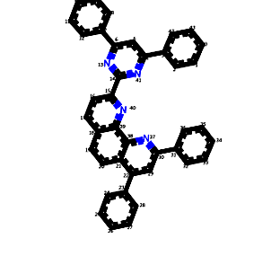 c1ccc(-c2cc(-c3ccccc3)nc(-c3ccc4ccc5c(-c6ccccc6)cc(-c6ccccc6)nc5c4n3)n2)cc1